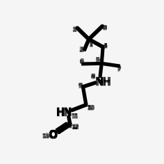 CC(C)(C)CC(C)(C)NCCN[C]=O